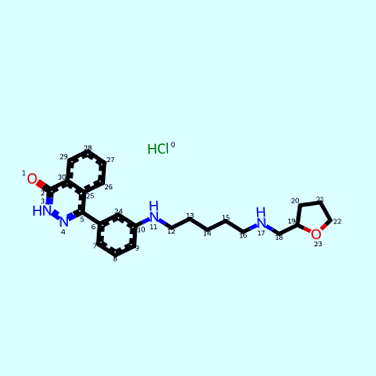 Cl.O=c1[nH]nc(-c2cccc(NCCCCCNCC3CCCO3)c2)c2ccccc12